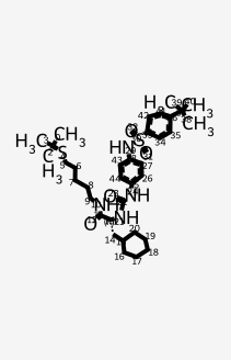 CC(C)(C)SCCCCCNC(=O)[C@@H](CC1CCCCC1)NC(=O)Nc1ccc(NS(=O)(=O)c2ccc(C(C)(C)C)cc2)cc1